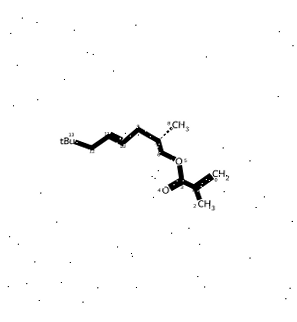 C=C(C)C(=O)OC[C@@H](C)C/C=C/CC(C)(C)C